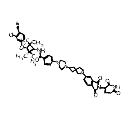 CC1(C)[C@H](NC(=O)c2ccc(N3CCN(C4CC5(CCN(c6ccc7c(c6)C(=O)N(C6CCC(=O)NC6=O)C7=O)C5)C4)CC3)cc2)C(C)(C)[C@H]1Oc1ccc(C#N)c(Cl)c1